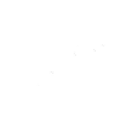 Cn1ccc(C(=O)N2CCC(C)(CNC3CC3c3ccccc3)CC2)n1